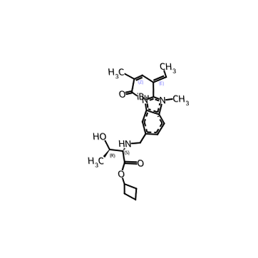 C/C=C(\C=C(\C)C(=O)C(C)CC)c1nc2cc(CN[C@H](C(=O)OC3CCC3)[C@@H](C)O)ccc2n1C